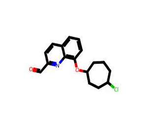 O=Cc1ccc2cccc(OC3CCCC(Cl)CC3)c2n1